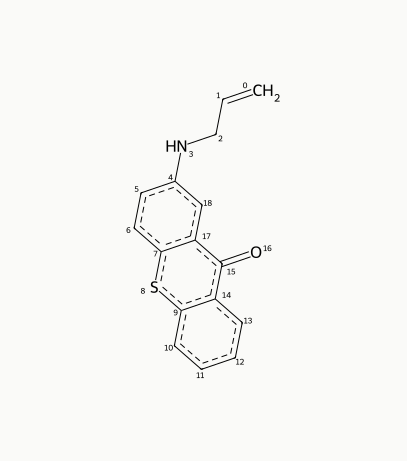 C=CCNc1ccc2sc3ccccc3c(=O)c2c1